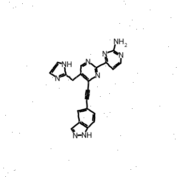 Nc1nccc(-c2ncc(Cc3ncc[nH]3)c(C#Cc3ccc4[nH]ncc4c3)n2)n1